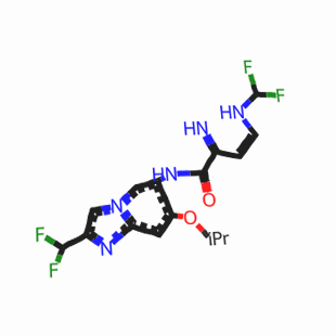 CC(C)Oc1cc2nc(C(F)F)cn2cc1NC(=O)C(=N)/C=C\NC(F)F